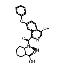 N#CN(C(=O)c1ncc(O)c2ccc(Oc3ccccc3)cc12)C1CCCCC1C(=O)O